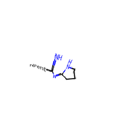 CCCCCC(=N)/N=C1/CCCN1